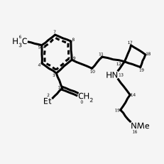 C=C(CC)c1cc(C)ccc1CCC1(NCCNC)CCC1